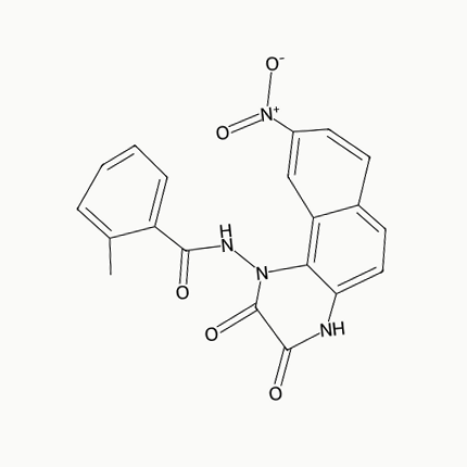 Cc1ccccc1C(=O)Nn1c(=O)c(=O)[nH]c2ccc3ccc([N+](=O)[O-])cc3c21